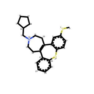 CSc1ccc2c(c1)C1=C(CCN(CC3CCCC3)CC1)c1ccccc1S2